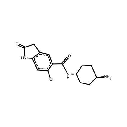 N[C@H]1CC[C@H](NC(=O)c2cc3c(cc2Cl)NC(=O)C3)CC1